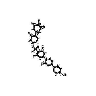 CCCCc1ccc(-c2ccc(-c3cc(F)c(C(F)(F)Oc4ccc(-c5cc(F)c(F)c(F)c5)c(F)c4)c(F)c3)c(F)c2)cc1